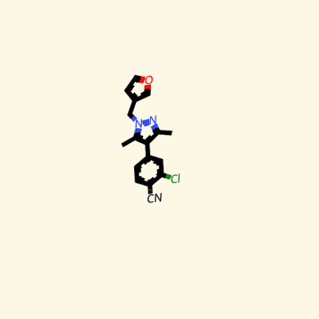 Cc1nn(Cc2ccoc2)c(C)c1-c1ccc(C#N)c(Cl)c1